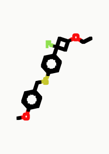 CCO[C@H]1C[C@](F)(c2ccc(SCc3ccc(OC)cc3)cc2)C1